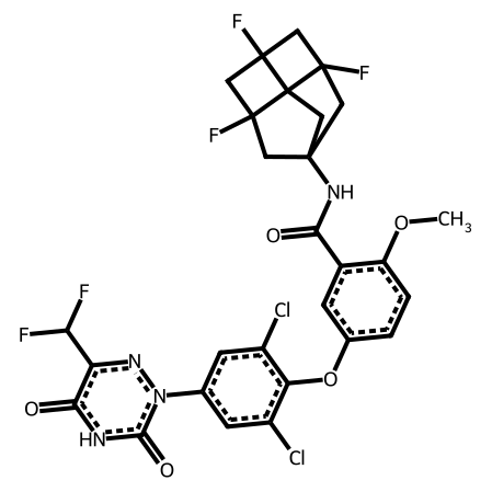 COc1ccc(Oc2c(Cl)cc(-n3nc(C(F)F)c(=O)[nH]c3=O)cc2Cl)cc1C(=O)NC12CC3(F)CC4(F)CC(F)(C1)C34C2